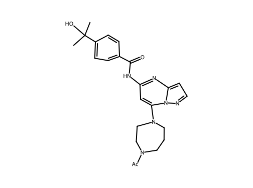 CC(=O)N1CCCN(c2cc(NC(=O)c3ccc(C(C)(C)O)cc3)nc3ccnn23)CC1